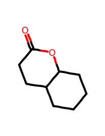 O=C1CCC2CCCCC2O1